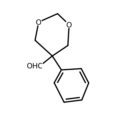 O=CC1(c2ccccc2)COCOC1